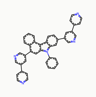 c1ccc(-n2c3cc(-c4cncc(-c5ccncc5)c4)ccc3c3c4ccccc4c(-c4cncc(-c5ccncc5)c4)cc32)cc1